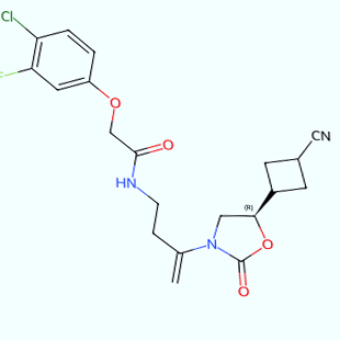 C=C(CCNC(=O)COc1ccc(Cl)c(F)c1)N1C[C@@H](C2CC(C#N)C2)OC1=O